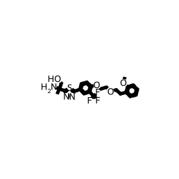 COc1ccccc1CCOCCOc1ccc(-c2nnc(C(C)(N)CO)s2)cc1C(F)(F)F